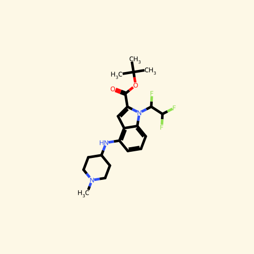 CN1CCC(Nc2cccc3c2cc(C(=O)OC(C)(C)C)n3C(F)C(F)F)CC1